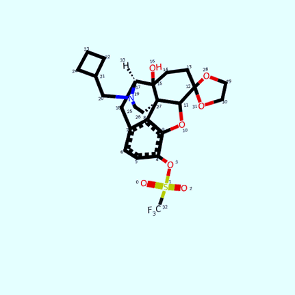 O=S(=O)(Oc1ccc2c3c1OC1C4(CCC5(O)[C@H](C2)N(CC2CCC2)CC[C@@]315)OCCO4)C(F)(F)F